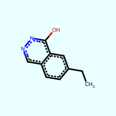 CCc1ccc2cnnc(O)c2c1